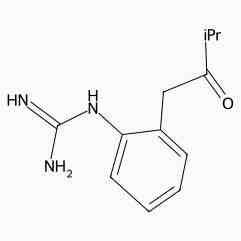 CC(C)C(=O)Cc1ccccc1NC(=N)N